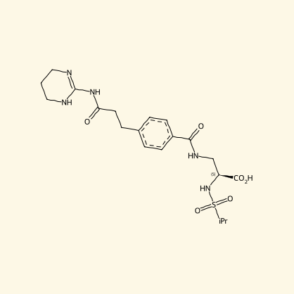 CC(C)S(=O)(=O)N[C@@H](CNC(=O)c1ccc(CCC(=O)NC2=NCCCN2)cc1)C(=O)O